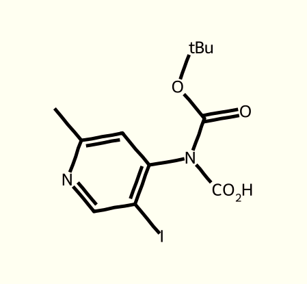 Cc1cc(N(C(=O)O)C(=O)OC(C)(C)C)c(I)cn1